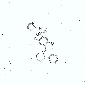 O=S(=O)(Nc1cscn1)c1cc2c(cc1F)C(N1CCCCC1c1ccccc1)CCO2